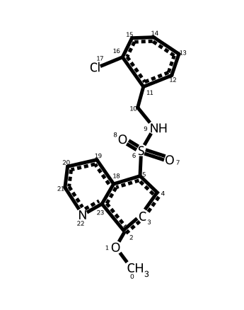 COc1ccc(S(=O)(=O)NCc2ccccc2Cl)c2cccnc12